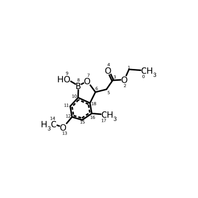 CCOC(=O)CC1OB(O)c2cc(OC)cc(C)c21